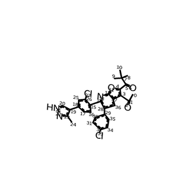 CC(=O)c1c(C(=O)C(C)(C)C)oc2nc(-c3ccc(-c4c[nH]nc4C)cc3Cl)c(-c3ccc(Cl)cc3)cc12